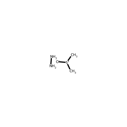 C[S+](C)[O-].NN